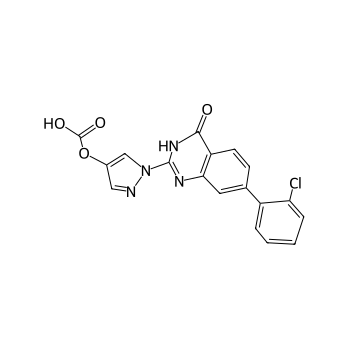 O=C(O)Oc1cnn(-c2nc3cc(-c4ccccc4Cl)ccc3c(=O)[nH]2)c1